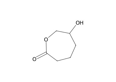 O=C1CCCC(O)CO1